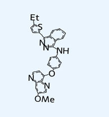 CCc1ccc(-c2nnc(Nc3ccc(Oc4ccnc5cc(OC)cnc45)cc3)c3ccccc23)s1